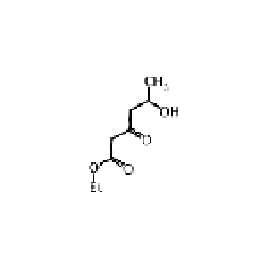 CCOC(=O)CC(=O)CC(C)O